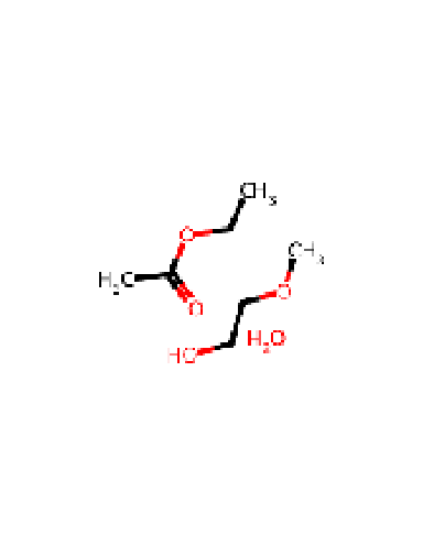 CCOC(C)=O.COCCO.O